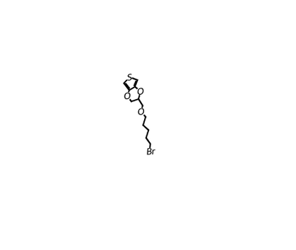 BrCCCCCOCC1COc2cscc2O1